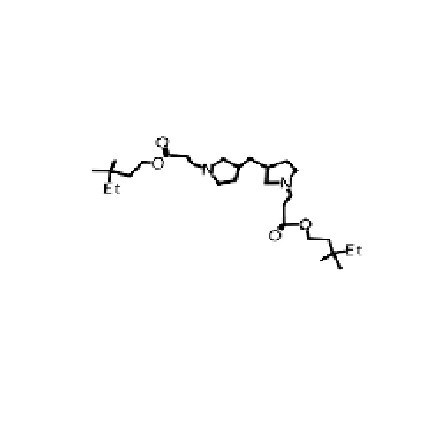 CCC(C)(C)CCOC(=O)CCN1CCC(CC2CCN(CCC(=O)OCCC(C)(C)CC)C2)C1